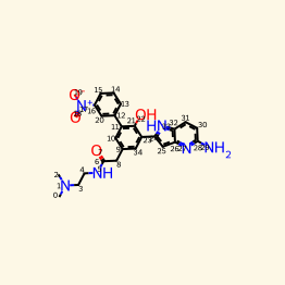 CN(C)CCNC(=O)Cc1cc(-c2cccc([N+](=O)[O-])c2)c(O)c(-c2cc3nc(N)ccc3[nH]2)c1